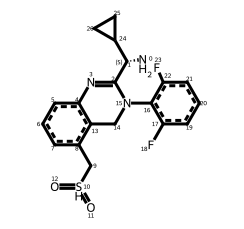 N[C@H](C1=Nc2cccc(C[SH](=O)=O)c2CN1c1c(F)cccc1F)C1CC1